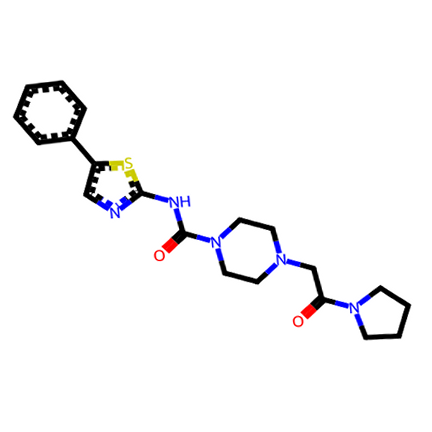 O=C(CN1CCN(C(=O)Nc2ncc(-c3ccccc3)s2)CC1)N1CCCC1